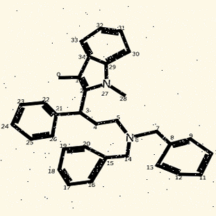 Cc1c(C(CCN(Cc2ccccc2)Cc2ccccc2)c2ccccc2)n(C)c2ccccc12